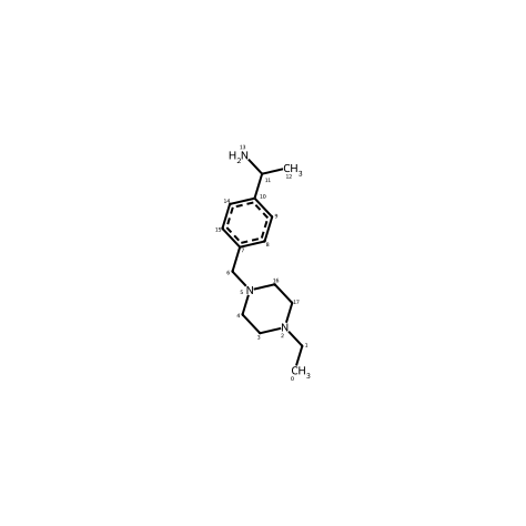 CCN1CCN(Cc2ccc(C(C)N)cc2)CC1